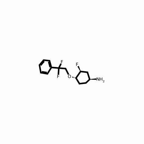 N[C@H]1CC[C@H](OCC(F)(F)c2ccccc2)[C@@H](F)C1